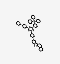 c1ccc(-c2ccc(-c3nc(-c4ccc(-c5ccc6oc7c8ccccc8ccc7c6c5)cc4)nc(-c4cccc(S(c5ccccc5)(c5ccccc5)c5ccccc5)c4)n3)cc2)cc1